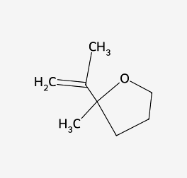 C=C(C)C1(C)CCCO1